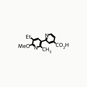 CCc1cc(-c2cc(C(=O)O)ccn2)c(C)nc1OC